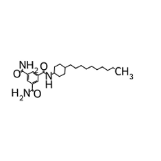 CCCCCCCCCCC1CCC(NC(=O)c2cc(C(N)=O)cc(C(N)=O)c2)CC1